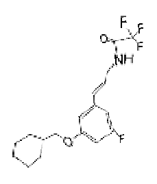 O=C(NC/C=C/c1cc(F)cc(OCC2CCCCC2)c1)C(F)(F)F